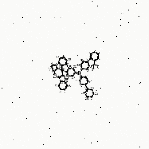 CC1(C)c2ccccc2-c2ccc(N(c3ccc(-c4ccccc4)cc3)c3ccc4c(c3)-c3ccccc3C43c4ccccc4Oc4c3oc3ccccc43)cc21